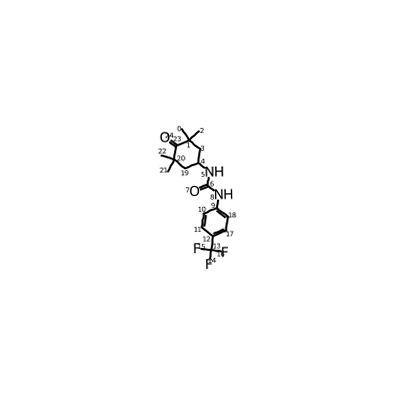 CC1(C)CC(NC(=O)Nc2ccc(C(F)(F)F)cc2)CC(C)(C)C1=O